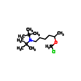 CC(CCCCN([Si](C)(C)C)[Si](C)(C)C)O[SiH2]Cl